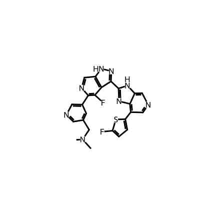 CN(C)Cc1cncc(-c2ncc3[nH]nc(-c4nc5c(-c6ccc(F)s6)cncc5[nH]4)c3c2F)c1